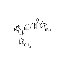 Cn1cc(-c2cn3ncnc3c(N3CCC(CNC(=O)c4noc(C(C)(C)C)n4)CC3)n2)cn1